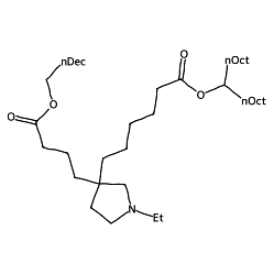 CCCCCCCCCCCOC(=O)CCCC1(CCCCCC(=O)OC(CCCCCCCC)CCCCCCCC)CCN(CC)C1